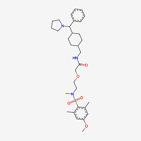 COc1cc(C)c(S(=O)(=O)N(C)CCOCC(=O)NCC2CCC(C(c3ccccc3)N3CCCC3)CC2)c(C)c1